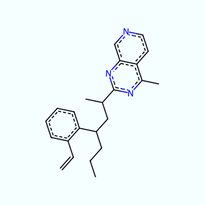 C=Cc1ccccc1C(CCC)CC(C)c1nc(C)c2ccncc2n1